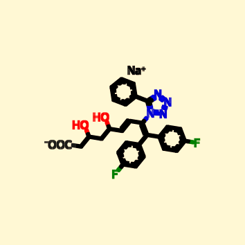 O=C([O-])CC(O)CC(O)C=CC(=C(c1ccc(F)cc1)c1ccc(F)cc1)n1nnnc1-c1ccccc1.[Na+]